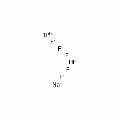 F.[F-].[F-].[F-].[F-].[F-].[Na+].[Ti+4]